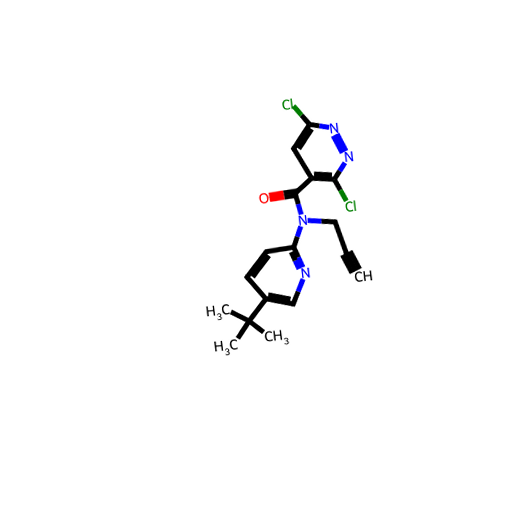 C#CCN(C(=O)c1cc(Cl)nnc1Cl)c1ccc(C(C)(C)C)cn1